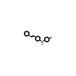 Cc1ccc(Nc2ccc(/C=C/c3ccccc3)cc2)cc1